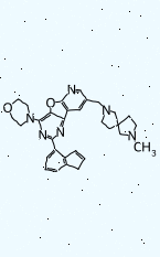 CN1CCC2(CCN(Cc3cnc4oc5c(N6CCOCC6)nc(-c6cccc7c6C=CC7)nc5c4c3)C2)C1